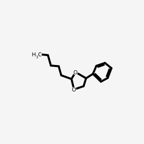 CCCCCC1OCC(c2ccccc2)O1